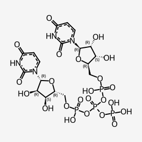 O=c1ccn([C@@H]2O[C@H](COP(=O)(O)OP(=O)(OP(=O)(O)O)OP(=O)(O)OC[C@H]3O[C@@H](n4ccc(=O)[nH]c4=O)[C@H](O)[C@@H]3O)[C@@H](O)[C@H]2O)c(=O)[nH]1